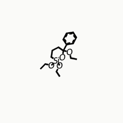 CCOC1(c2ccccc2)CCC[Si](OCC)(OCC)O1